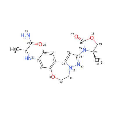 CC(Nc1ccc2c(c1)OCCn1nc(N3C(=O)OC[C@H]3C(F)(F)F)cc1-2)C(N)=O